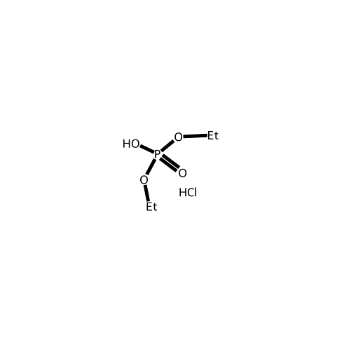 CCOP(=O)(O)OCC.Cl